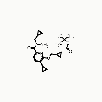 CC(C)(C)OC=O.NN(CC1CC1)C(=O)c1ccc(C2CC2)c(OCC2CC2)n1